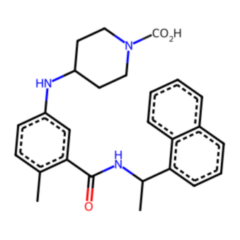 Cc1ccc(NC2CCN(C(=O)O)CC2)cc1C(=O)NC(C)c1cccc2ccccc12